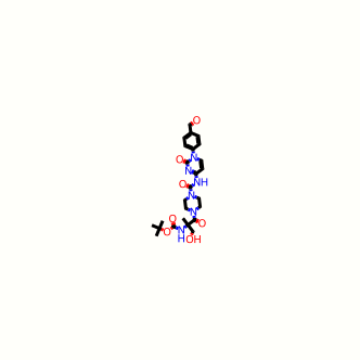 CC(C)(C)OC(=O)NC(C)(CO)C(=O)N1CCN(C(=O)Nc2ccn(-c3ccc(C=O)cc3)c(=O)n2)CC1